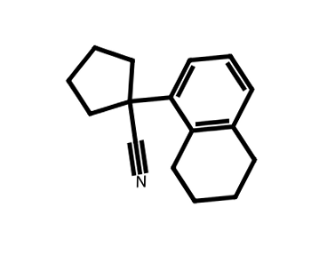 N#CC1(c2cccc3c2CCCC3)CCCC1